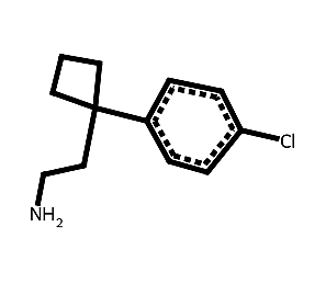 NCCC1(c2ccc(Cl)cc2)CCC1